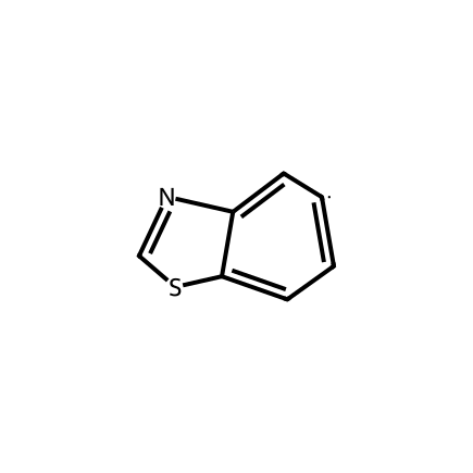 [c]1ccc2scnc2c1